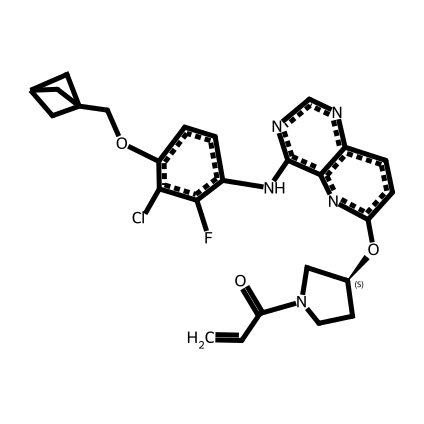 C=CC(=O)N1CC[C@H](Oc2ccc3ncnc(Nc4ccc(OCC56CC(C5)C6)c(Cl)c4F)c3n2)C1